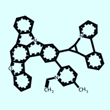 C=C[n+]1cc(C)ccc1-c1cc2c3c4c(cc5c6ccccc6n(c2cc1C1C2c6ccccc6-c6cccc[n+]6C12)c53)oc1ccccc14